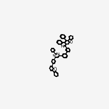 c1ccc(-c2nc(-c3ccc(-c4cccc5c4oc4ccccc45)cc3)cc(-c3cccc(-c4cccc(-c5nc6ccccc6c6c(-c7ccccc7)c7c(cc56)oc5ccccc57)c4)c3)n2)cc1